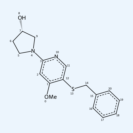 COc1cc(N2CC[C@H](O)C2)ncc1SCc1ccccc1